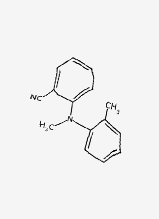 Cc1ccccc1N(C)c1ccccc1C#N